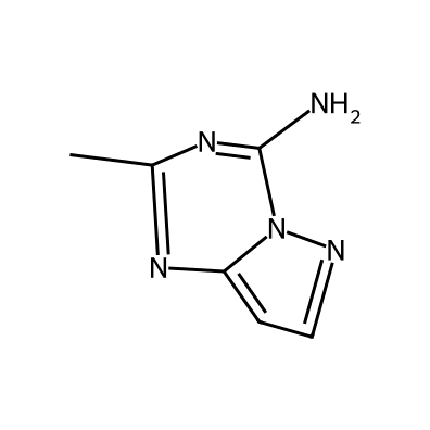 Cc1nc(N)n2nccc2n1